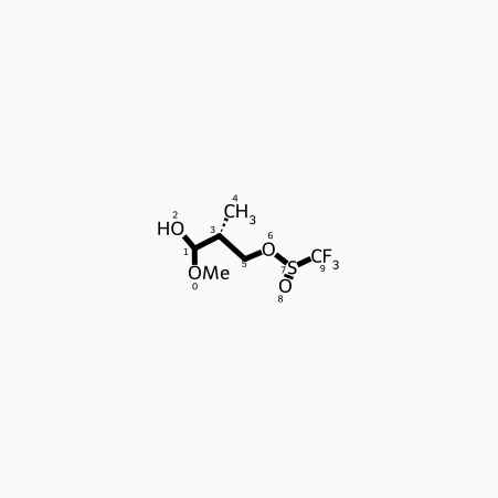 COC(O)[C@H](C)COS(=O)C(F)(F)F